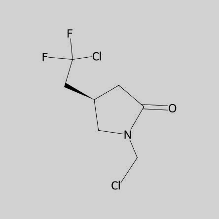 O=C1C[C@H](CC(F)(F)Cl)CN1CCl